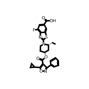 CC[C@@H]1C[C@H](OC(=O)c2c(-c3ccccc3)noc2C2CC2)CCN1c1nc2c(F)cc(C(=O)O)cc2s1